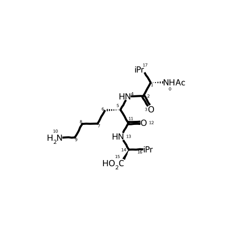 CC(=O)N[C@H](C(=O)N[C@@H](CCCCN)C(=O)N[C@H](C(=O)O)C(C)C)C(C)C